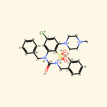 CN1CCN(c2cc(Cl)cc3c2S(=O)(=O)N(Cc2ccccc2Br)C(=O)N3Cc2ccccc2)CC1